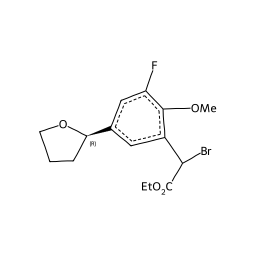 CCOC(=O)C(Br)c1cc([C@H]2CCCO2)cc(F)c1OC